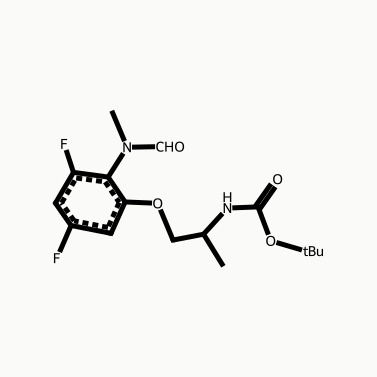 CC(COc1cc(F)cc(F)c1N(C)C=O)NC(=O)OC(C)(C)C